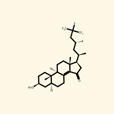 CC(=O)O[C@H]1CC[C@@]2(C)[C@@H](CCC3=C4C(=O)C[C@H]([C@H](C)C[C@@H](I)CC(F)(C(F)(F)F)C(F)(F)F)[C@@]4(C)CC[C@@H]32)C1